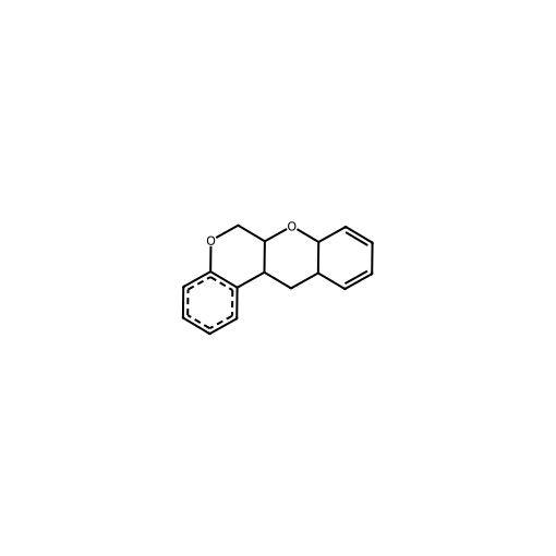 C1=CC2CC3c4ccccc4OCC3OC2C=C1